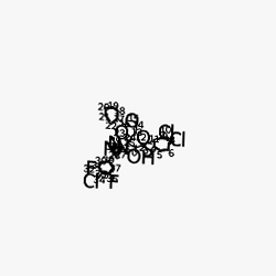 OC1C(Sc2ccc(Cl)c(Cl)c2)OC2COC(c3ccccc3)OC2C1n1cc(-c2cc(F)c(Cl)c(F)c2)nn1